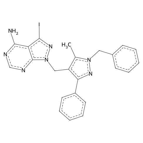 Cc1c(Cn2nc(I)c3c(N)ncnc32)c(-c2ccccc2)nn1Cc1ccccc1